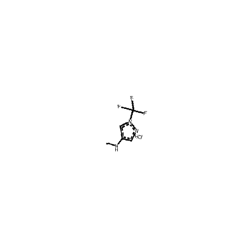 CNc1cnn(C(F)(F)F)c1.Cl